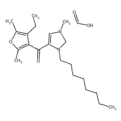 CCCCCCCCN1CN(C)C=C1C(=O)c1c(C)oc(C)c1CC.O=CO